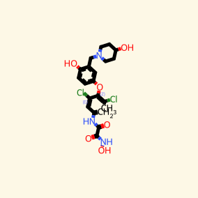 C=C(/C=C(Cl)\C(Oc1ccc(O)c(CN2CCC(O)CC2)c1)=C(/C)Cl)NC(=O)C(=O)NO